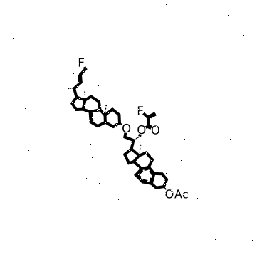 C=C(F)C(=O)OC[C@@H](CO[C@H]1CC[C@@]2(C)C(CC=C3C2CC[C@@]2(C)C3CCC2[C@H](C)/C=C/CF)C1)C1CCC2c3ccc4c(c3CC[C@@]21C)CC[C@H](OC(C)=O)C4